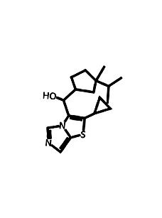 CC(C)C1(C)CCC(C(O)c2c(C3CC3)sc3cncn23)C1